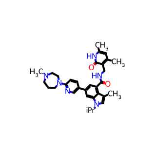 Cc1cc(C)c(CNC(=O)c2cc(-c3ccc(N4CCCN(C)CC4)nc3)cc3c2c(C)cn3C(C)C)c(=O)[nH]1